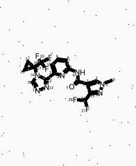 Cn1cc(C(=O)Nc2cccc(-c3nncn3C3(C(F)(F)F)CC3)n2)c(C(F)F)n1